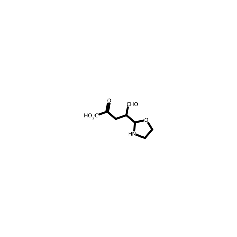 O=CC(CC(=O)C(=O)O)C1NCCO1